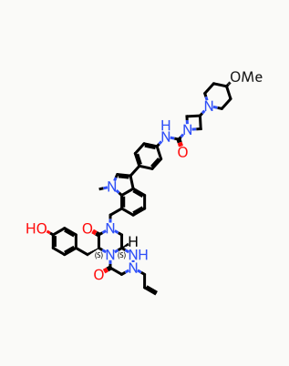 C=CCN1CC(=O)N2[C@H](CN(Cc3cccc4c(-c5ccc(NC(=O)N6CC(N7CCC(OC)CC7)C6)cc5)cn(C)c34)C(=O)[C@@H]2Cc2ccc(O)cc2)N1